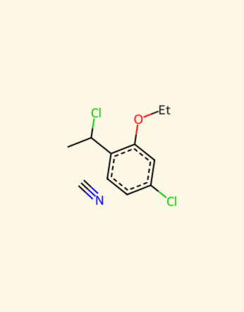 C#N.CCOc1cc(Cl)ccc1C(C)Cl